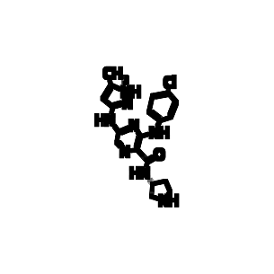 Cc1cc(Nc2cnc(C(=O)N[C@@H]3CCNC3)c(Nc3ccc(Cl)cc3)n2)n[nH]1